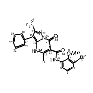 COc1c(Br)cccc1NC(=O)c1c(C)[nH]c2c(-c3ccccc3)c(C(F)(F)F)nn2c1=O